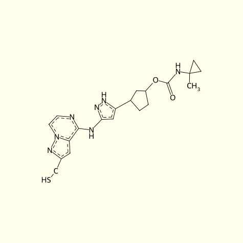 CC1(NC(=O)OC2CCC(c3cc(Nc4nccn5nc(CS)cc45)n[nH]3)C2)CC1